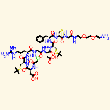 CC(C)(C)SC[C@H](NC(=O)[C@H](CC(=O)O)NC(=O)CCl)C(=O)N[C@@H](CCCNC(=N)N)C(=O)NCC(=O)N[C@@H](CC(=O)O)C(=O)N[C@@H](CSC(C)(C)C)C(=O)N[C@@H](Cc1ccccc1)C(=O)N[C@@H](CS)C(=O)NCC(=O)NCCOCCOCCN